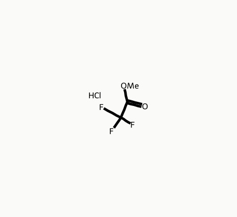 COC(=O)C(F)(F)F.Cl